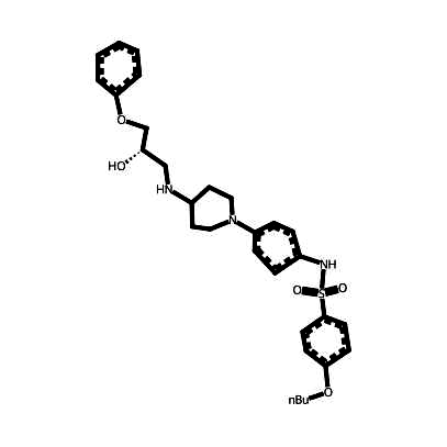 CCCCOc1ccc(S(=O)(=O)Nc2ccc(N3CCC(NC[C@H](O)COc4ccccc4)CC3)cc2)cc1